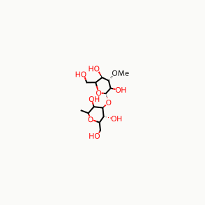 CO[C@@H]1C(O)[C@H](O[C@@H]2C(O)C(C)OC(CO)[C@H]2O)OC(CO)[C@H]1O